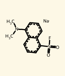 CN(C)c1cccc2c(S(=O)(=O)F)cccc12.[Na]